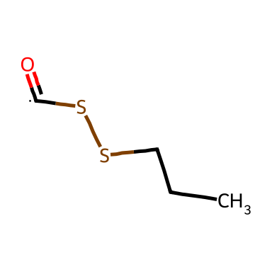 CCCSS[C]=O